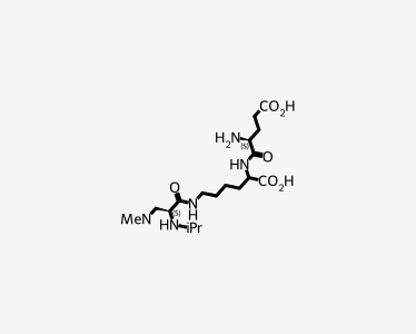 CNC[C@H](NC(C)C)C(=O)NCCCCC(NC(=O)[C@@H](N)CCC(=O)O)C(=O)O